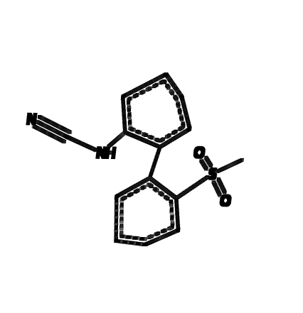 CS(=O)(=O)c1ccccc1-c1ccccc1NC#N